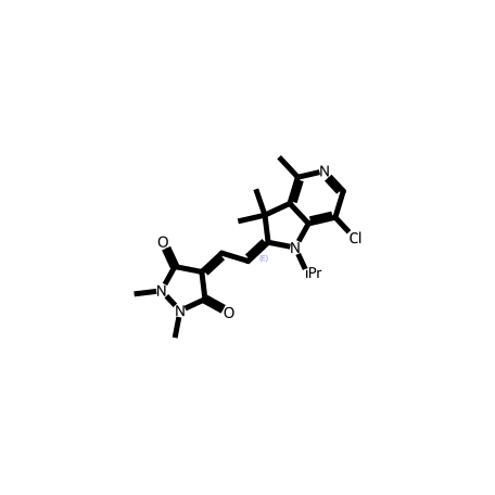 Cc1ncc(Cl)c2c1C(C)(C)/C(=C\C=C1C(=O)N(C)N(C)C1=O)N2C(C)C